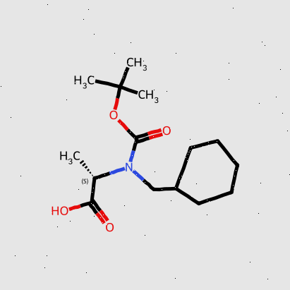 C[C@@H](C(=O)O)N(CC1CCCCC1)C(=O)OC(C)(C)C